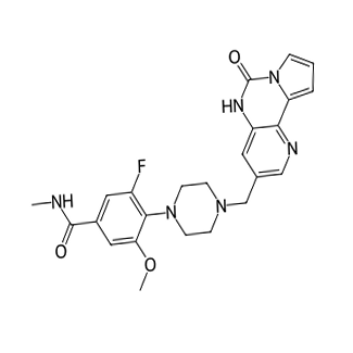 CNC(=O)c1cc(F)c(N2CCN(Cc3cnc4c(c3)[nH]c(=O)n3cccc43)CC2)c(OC)c1